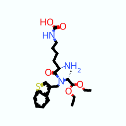 CCOC(OCC)[C@@H](C)N(Cc1csc2ccccc12)C(=O)[C@@H](N)CCCCNC(=O)O